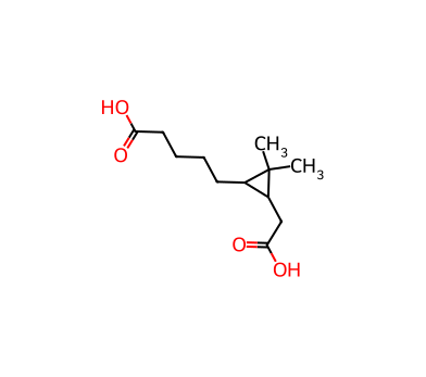 CC1(C)C(CCCCC(=O)O)C1CC(=O)O